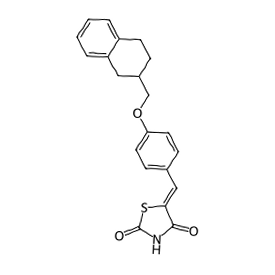 O=C1NC(=O)/C(=C/c2ccc(OCC3CCc4ccccc4C3)cc2)S1